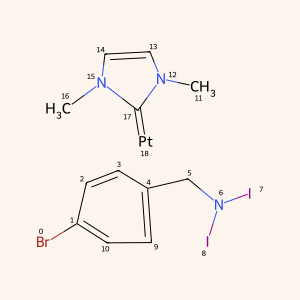 Brc1ccc(CN(I)I)cc1.Cn1ccn(C)[c]1=[Pt]